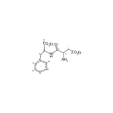 CCOC(=O)CC(N)C(=O)NC(Cc1ccccc1)C(=O)OCC